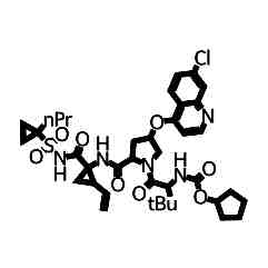 C=CC1CC1(NC(=O)C1CC(Oc2ccnc3cc(Cl)ccc23)CN1C(=O)C(NC(=O)OC1CCCC1)C(C)(C)C)C(=O)NS(=O)(=O)C1(CCC)CC1